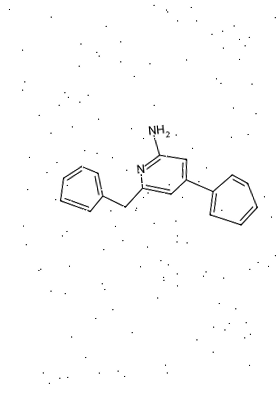 Nc1cc(-c2ccccc2)cc(Cc2ccccc2)n1